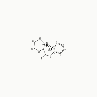 CCC1(C(C)Cc2ccccc2O)CCCCC1